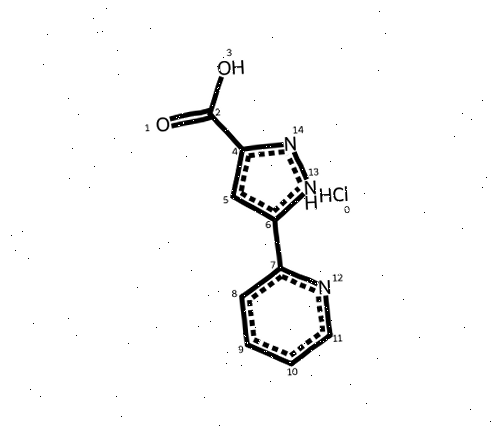 Cl.O=C(O)c1cc(-c2ccccn2)[nH]n1